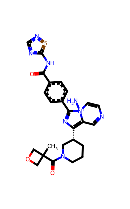 CC1(C(=O)N2CCC[C@@H](C3=C4C=NC=C[N+]4(N)C(c4ccc(C(=O)Nc5ncns5)cc4)=N3)C2)COC1